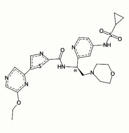 CCOc1cncc(-c2cnc(C(=O)N[C@H](CN3CCOCC3)c3cc(NS(=O)(=O)C4CC4)ccn3)s2)n1